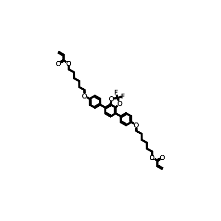 C=CC(=O)OCCCCCCOc1ccc(-c2ccc(-c3ccc(OCCCCCCOC(=O)C=C)cc3)c3c2OC(F)(F)O3)cc1